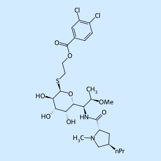 CCC[C@@H]1C[C@@H](C(=O)N[C@@H]([C@H]2O[C@H](SCCOC(=O)c3ccc(Cl)c(Cl)c3)[C@H](O)[C@@H](O)[C@H]2O)[C@@H](C)OC)N(C)C1